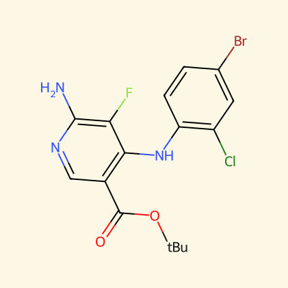 CC(C)(C)OC(=O)c1cnc(N)c(F)c1Nc1ccc(Br)cc1Cl